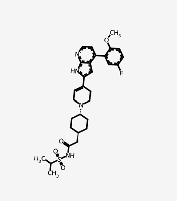 COc1ccc(F)cc1-c1ccnc2[nH]c(C3=CCN([C@H]4CC[C@H](CC(=O)NS(=O)(=O)C(C)C)CC4)CC3)cc12